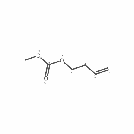 C=CCCOC(=O)OC